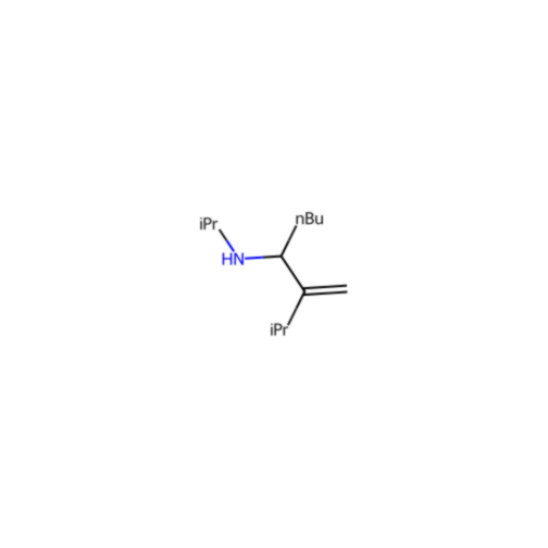 C=C(C(C)C)C(CCCC)NC(C)C